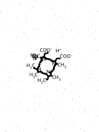 C=CC1=C(C)c2cc3[n-]c(cc4[n-]c(cc5nc(cc1n2)C(C)=C5C=C)c(C)c4CCC(=O)[O-])c(CCC(=O)[O-])c3C.N#[O+].[Fe].[H+].[H+]